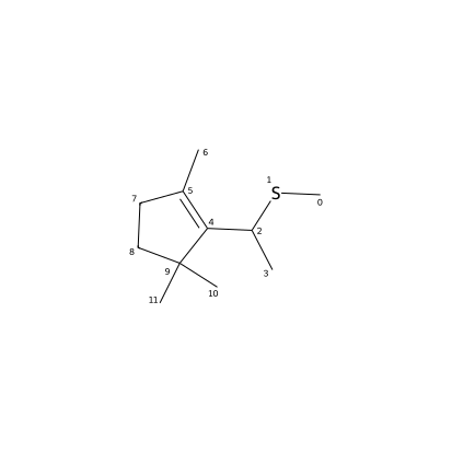 CSC(C)C1=C(C)CCC1(C)C